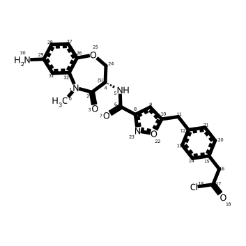 CN1C(=O)[C@@H](NC(=O)c2cc(Cc3ccc(CC(=O)Cl)cc3)on2)COc2ccc(N)cc21